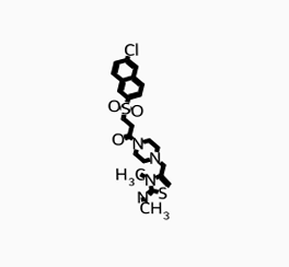 C/N=c1\scc(CN2CCN(C(=O)CCS(=O)(=O)c3ccc4cc(Cl)ccc4c3)CC2)n1C